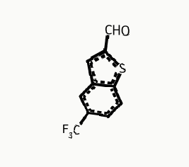 O=Cc1cc2cc(C(F)(F)F)ccc2s1